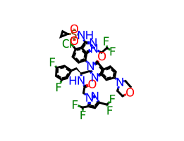 O=C(Cn1nc(C(F)F)cc1C(F)F)N[C@@H](Cc1cc(F)cc(F)c1)c1nc2cc(N3CCOCC3)ccc2c(=O)n1-c1ccc(Cl)c2c(NS(=O)(=O)C3CC3)nn(CC(F)F)c12